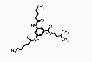 CCCCC(=O)Nc1cc(NC(=O)CCCC)cc(C(=O)NCCC(C)C)c1